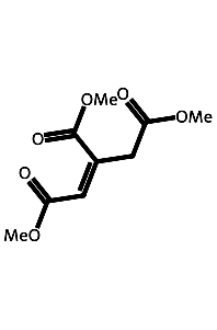 COC(=O)C=C(CC(=O)OC)C(=O)OC